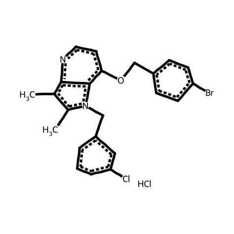 Cc1c(C)n(Cc2cccc(Cl)c2)c2c(OCc3ccc(Br)cc3)ccnc12.Cl